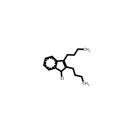 CCCCC1=C(CCCC)c2ccccc2[C]1Cl